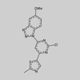 COc1ccc2c(c1)nnn2-c1cc(-c2cnc(C)s2)nc(Cl)n1